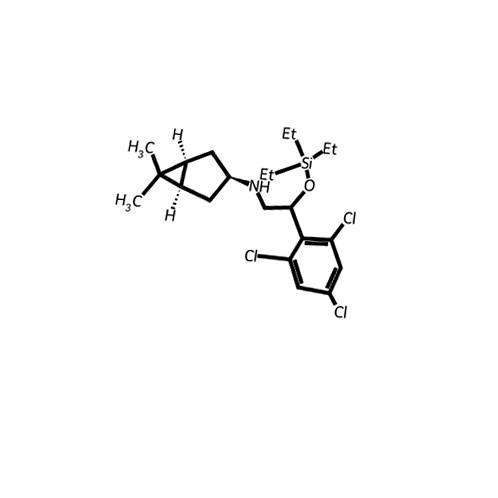 CC[Si](CC)(CC)OC(CN[C@H]1C[C@@H]2[C@H](C1)C2(C)C)c1c(Cl)cc(Cl)cc1Cl